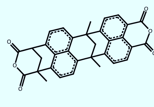 CC12CC(C(=O)OC1=O)c1ccc3c4c(ccc2c14)C1(C)CC3(C)c2ccc3c4c(ccc1c24)C(=O)OC3=O